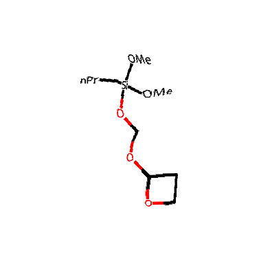 CCC[Si](OC)(OC)OCOC1CCO1